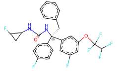 O=C(NC1CC1F)N[C@](Cc1ccccc1)(c1ccc(F)cc1)c1cc(F)cc(OC(F)(F)C(F)F)c1